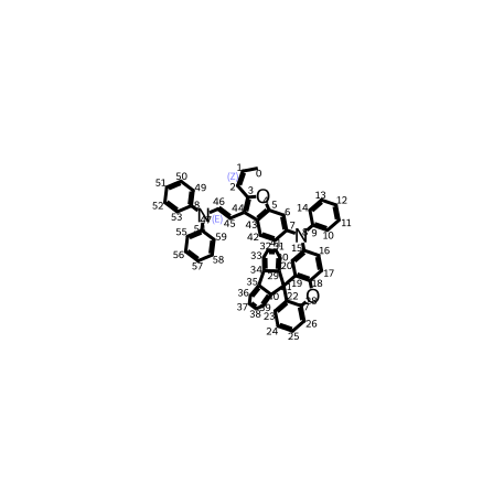 C/C=C\c1oc2cc(N(c3ccccc3)c3ccc4c(c3)C3(c5ccccc5O4)c4ccccc4-c4ccccc43)ccc2c1/C=C/N(c1ccccc1)c1ccccc1